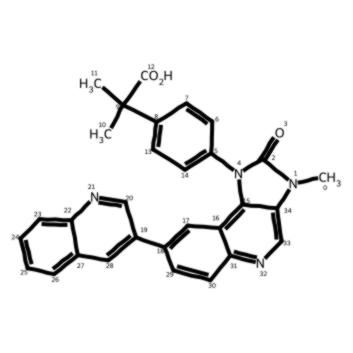 Cn1c(=O)n(-c2ccc(C(C)(C)C(=O)O)cc2)c2c3cc(-c4cnc5ccccc5c4)ccc3ncc21